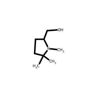 CN1C(CO)CCC1(C)C